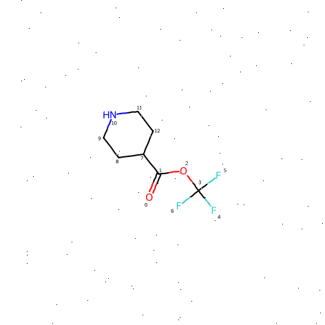 O=C(OC(F)(F)F)C1CCNCC1